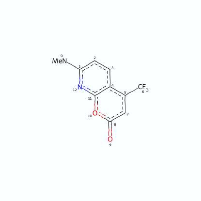 CNc1ccc2c(C(F)(F)F)cc(=O)oc2n1